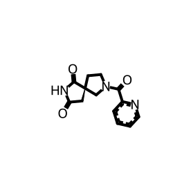 O=C1C[C@]2(CCN(C(=O)c3ccccn3)C2)C(=O)N1